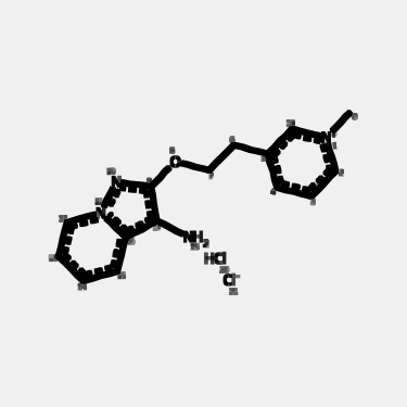 C[n+]1cccc(CCOc2nn3ccccc3c2N)c1.Cl.[Cl-]